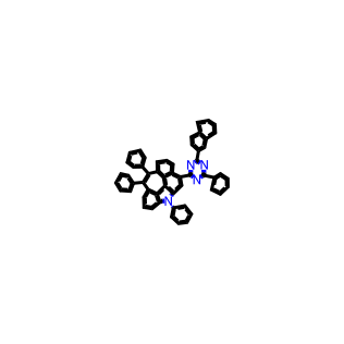 c1ccc(C2=C(c3ccccc3)c3cccc4c3c3c5c2cccc5c(-c2nc(-c5ccccc5)nc(-c5ccc6ccccc6c5)n2)cc3n4-c2ccccc2)cc1